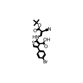 CC(C)(C)OC(=O)C(C#N)=CNc1scc(-c2ccc(Br)cc2)c1C(=O)O